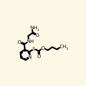 CCCCOC(=O)Sc1ncccc1C(=O)NCC(N)=O